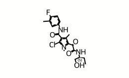 CC[C@@H](CO)NC(=O)C(=O)c1c(C)c(C(=O)Nc2ccc(F)c(C)c2)c(Cl)n1C